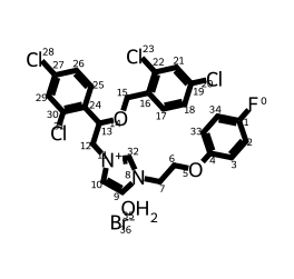 Fc1ccc(OCCn2cc[n+](CC(OCc3ccc(Cl)cc3Cl)c3ccc(Cl)cc3Cl)c2)cc1.O.[Br-]